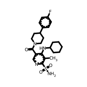 Cc1c(S(N)(=O)=O)ncc(C(=O)N2CCC(c3ccc(F)cc3)CC2)c1NC1CCCCC1